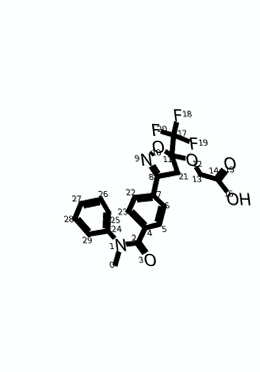 CN(C(=O)c1ccc(C2=NOC(OCC(=O)O)(C(F)(F)F)C2)cc1)c1ccccc1